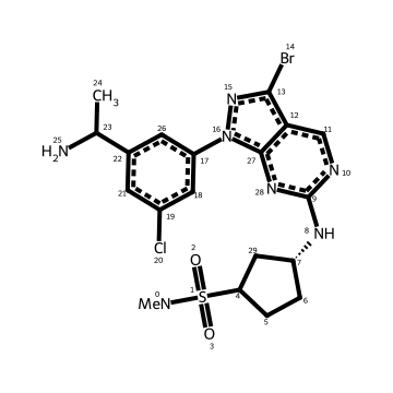 CNS(=O)(=O)C1CC[C@@H](Nc2ncc3c(Br)nn(-c4cc(Cl)cc(C(C)N)c4)c3n2)C1